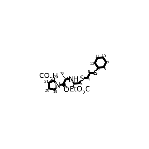 CCOC(=O)[C@H](CSCCSC1CCCCC1)N[C@@H](C)C(=O)N1CCC[C@H]1C(=O)O